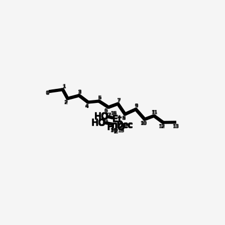 CCCCCCCCCCCCCC.CCCCCCCCCCO.CCO.O